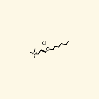 CCCCCCOC=CC[N+](C)(C)C.[Cl-]